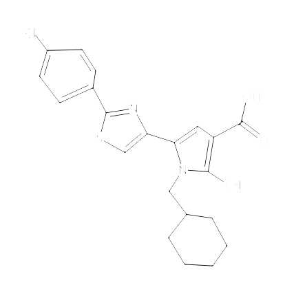 Cc1c(C(=O)O)cc(-c2csc(-c3ccc(Cl)cc3)n2)n1CC1CCCCC1